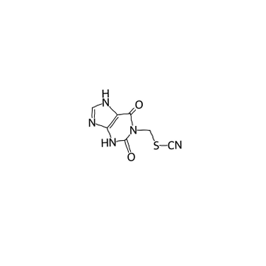 N#CSCn1c(=O)[nH]c2nc[nH]c2c1=O